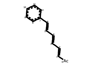 CC(=O)C=CC=CC=Cc1ccccc1